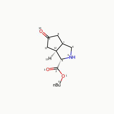 CCCCOC(=O)[C@H]1NCC2CC(=O)C[C@@H]21